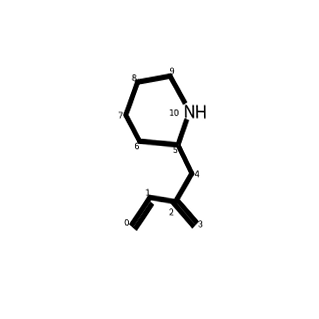 C=CC(=C)CC1CCCCN1